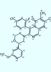 COc1cc([C@@H]2CN(c3ncc4nc(C)c(C)c(=O)n4c3-c3ccc(Cl)cc3F)CCO2)ccn1